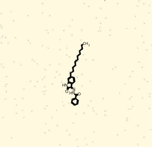 CCCCCCCCCCCCc1ccc2c(c1)NC(=O)/C2=N\NC(=O)c1ccccc1